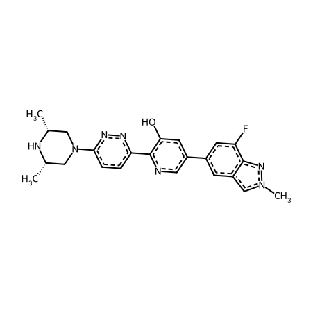 C[C@@H]1CN(c2ccc(-c3ncc(-c4cc(F)c5nn(C)cc5c4)cc3O)nn2)C[C@H](C)N1